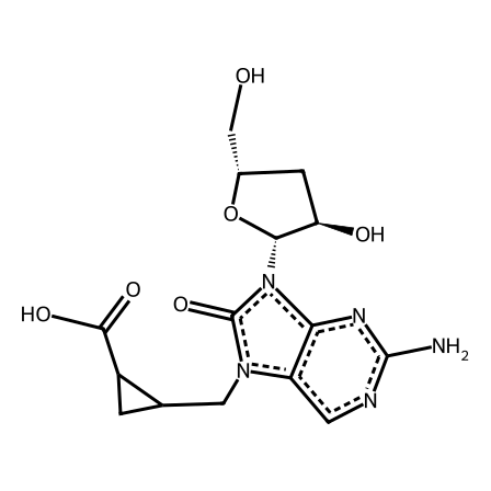 Nc1ncc2c(n1)n([C@@H]1O[C@H](CO)C[C@H]1O)c(=O)n2CC1CC1C(=O)O